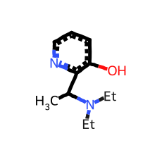 CCN(CC)C(C)c1ncccc1O